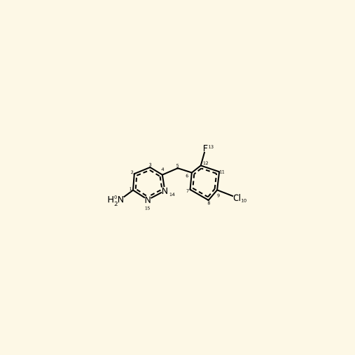 Nc1ccc(Cc2ccc(Cl)cc2F)nn1